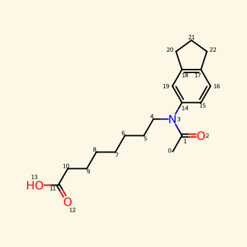 CC(=O)N(CCCCCCCC(=O)O)c1ccc2c(c1)CCC2